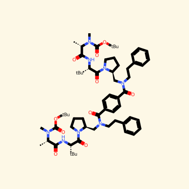 C[C@@H](C(=O)N[C@H](C(=O)N1CCC[C@H]1CN(CCc1ccccc1)C(=O)c1ccc(C(=O)N(CCc2ccccc2)C[C@@H]2CCCN2C(=O)[C@@H](NC(=O)[C@H](C)N(C)C(=O)OC(C)(C)C)C(C)(C)C)cc1)C(C)(C)C)N(C)C(=O)OC(C)(C)C